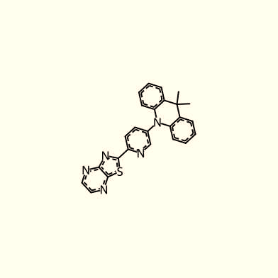 CC1(C)c2ccccc2N(c2ccc(-c3nc4nccnc4s3)nc2)c2ccccc21